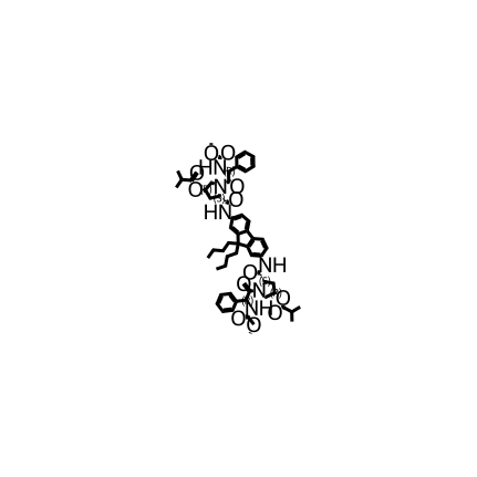 CCCCC1(CCCC)c2cc(NC(=O)[C@@H]3C[C@@H](OC(=O)C(C)C)CN3C(=O)[C@H](NC(=O)OC)c3ccccc3)ccc2-c2ccc(NC(=O)[C@@H]3C[C@@H](OC(=O)C(C)C)CN3C(=O)[C@H](NC(=O)OC)c3ccccc3)cc21